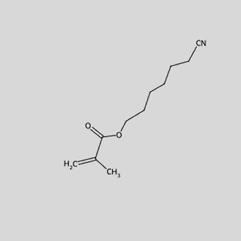 C=C(C)C(=O)OCCCCCCC#N